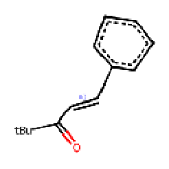 CC(C)(C)C(=O)/C=C/c1ccccc1